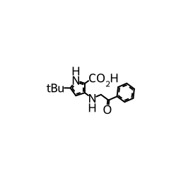 CC(C)(C)c1cc(NCC(=O)c2ccccc2)c(C(=O)O)[nH]1